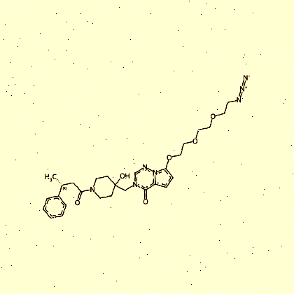 C[C@H](CC(=O)N1CCC(O)(Cn2cnn3c(OCCOCCOCCN=[N+]=[N-])ccc3c2=O)CC1)c1ccccc1